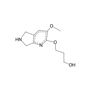 COc1cc2c(nc1OCCCO)CNC2